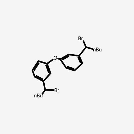 CCCCC(Br)c1cccc(Oc2cccc(C(Br)CCCC)c2)c1